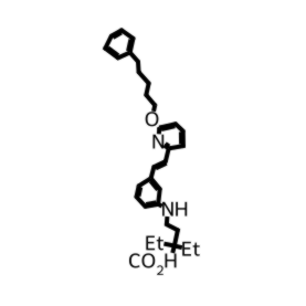 CCC(CC)(CCNc1cccc(C=Cc2cccc(OCCCCCc3ccccc3)n2)c1)C(=O)O